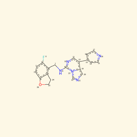 Fc1ccc2c(c1CNc1ncc(-c3ccncc3)c3cncn13)CCO2